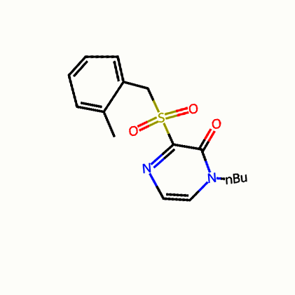 CCCCn1ccnc(S(=O)(=O)Cc2ccccc2C)c1=O